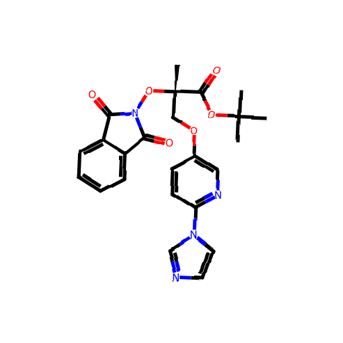 CC(C)(C)OC(=O)[C@](C)(COc1ccc(-n2ccnc2)nc1)ON1C(=O)c2ccccc2C1=O